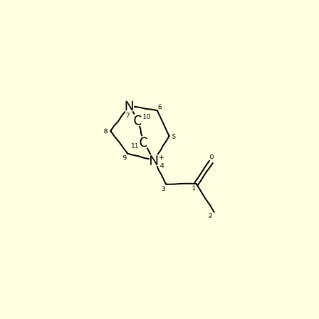 C=C(C)C[N+]12CCN(CC1)CC2